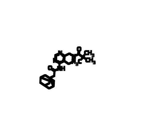 CC(C)(C)C(=O)N1CCc2c(ncnc2NC(=O)CC23CC4CC(CC(C4)C2)C3)C1